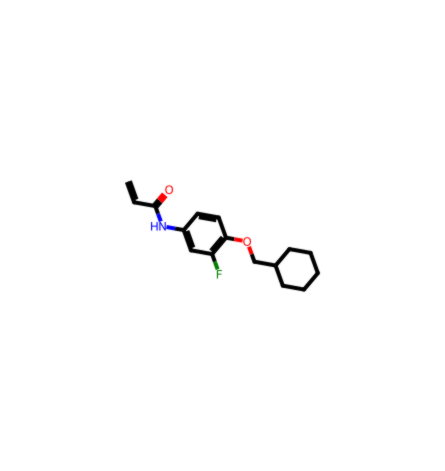 C=CC(=O)Nc1ccc(OCC2CCCCC2)c(F)c1